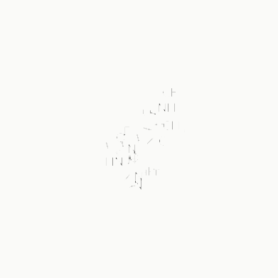 CC(C)n1nccc1C(=O)N[C@H](C(=O)Nc1cc(Cl)c([C@@H](C)C(=O)NCC(F)(F)F)cc1F)C(=C1CC1)C1CC1